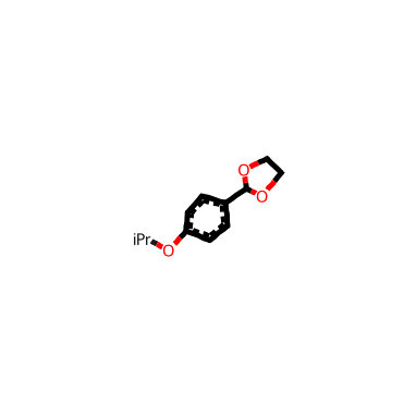 CC(C)Oc1ccc(C2OCCO2)cc1